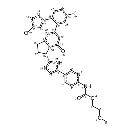 COCCOC(=O)Nc1ccc(-c2cnc([C@@H]3CCc4nc(-c5cc(Cl)ccc5-n5cc(Cl)nn5)cc(=O)n43)[nH]2)cn1